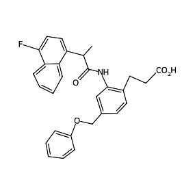 CC(C(=O)Nc1cc(COc2ccccc2)ccc1CCC(=O)O)c1ccc(F)c2ccccc12